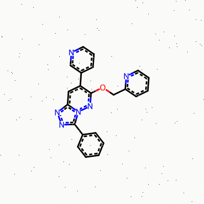 c1ccc(-c2nnc3cc(-c4cccnc4)c(OCc4ccccn4)nn23)cc1